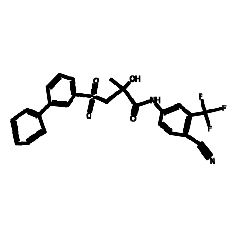 CC(O)(CS(=O)(=O)c1cccc(-c2ccccc2)c1)C(=O)Nc1ccc(C#N)c(C(F)(F)F)c1